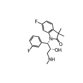 CNC[C@@H](O)[C@H](c1cccc(F)c1)N1C(=O)C(C)(C)c2ccc(F)cc21